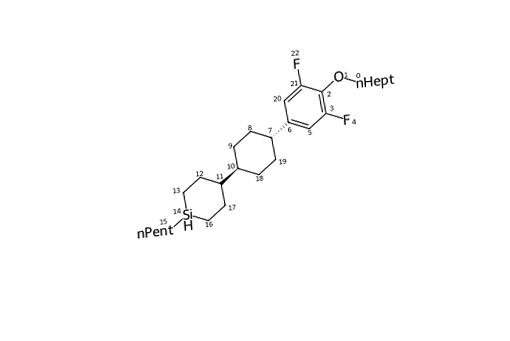 CCCCCCCOc1c(F)cc([C@H]2CC[C@H](C3CC[SiH](CCCCC)CC3)CC2)cc1F